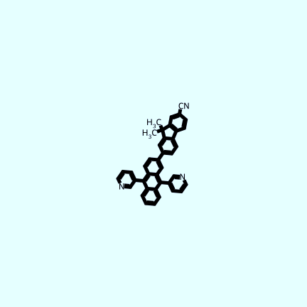 CC1(C)c2cc(C#N)ccc2-c2ccc(-c3ccc4c(-c5cccnc5)c5ccccc5c(-c5cccnc5)c4c3)cc21